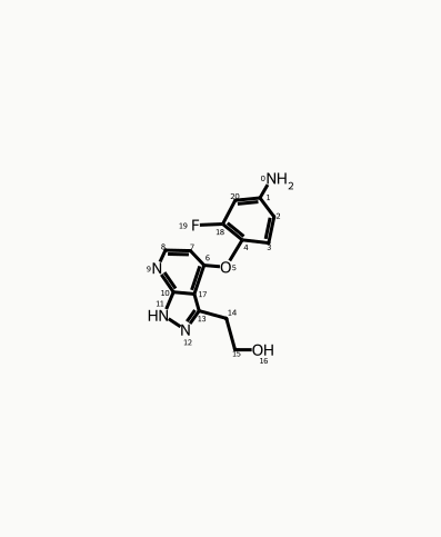 Nc1ccc(Oc2ccnc3[nH]nc(CCO)c23)c(F)c1